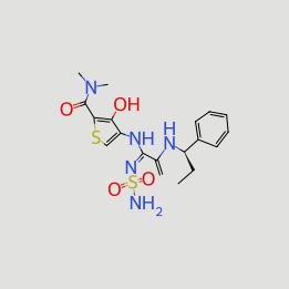 C=C(N[C@H](CC)c1ccccc1)/C(=N\S(N)(=O)=O)Nc1csc(C(=O)N(C)C)c1O